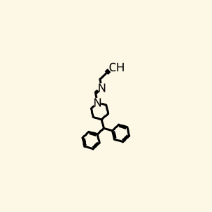 C#CCN=CN1CCC(C(c2ccccc2)c2ccccc2)CC1